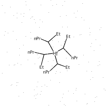 CCC[CH](CC)[Hf]([CH](CC)CCC)([CH](CC)CCC)[CH](CC)CCC